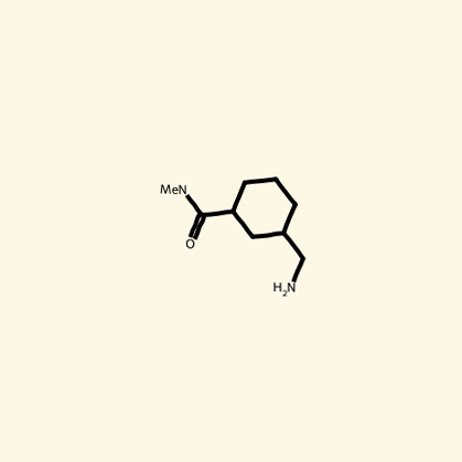 CNC(=O)C1CCCC(CN)C1